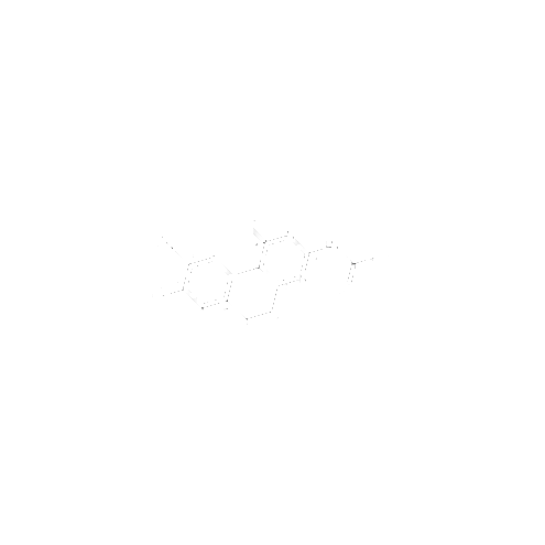 CC(C)(C)C(=O)Nc1nc2c(c(=O)[nH]1)-c1cc([N+](=O)[O-])c(Br)cc1CC2